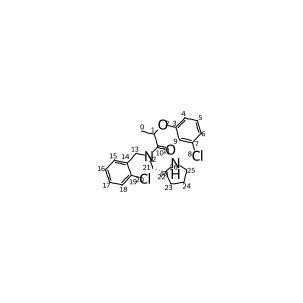 CC(Oc1cccc(Cl)c1)C(=O)N(Cc1ccccc1Cl)C[C@H]1CCCN1